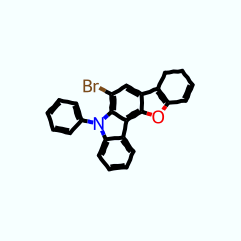 Brc1cc2c3c(oc2c2c4ccccc4n(-c4ccccc4)c12)C=CCC3